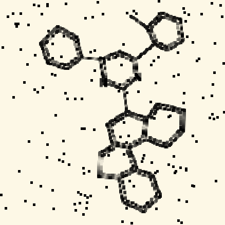 Cc1ccccc1-c1cc(-c2ccccc2)nc(-c2cc3ccc4ccccc4c3c3ccccc23)n1